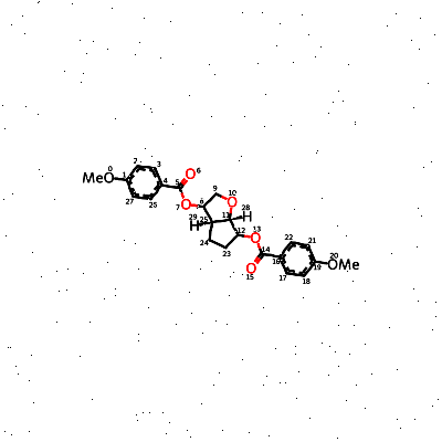 COc1ccc(C(=O)OC2CO[C@@H]3C(OC(=O)c4ccc(OC)cc4)CC[C@H]23)cc1